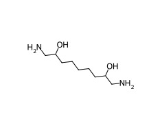 NCC(O)CCCCCC(O)CN